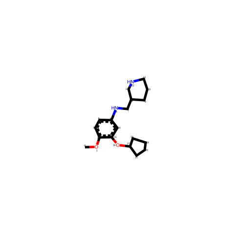 COc1ccc(NCC2CCCNC2)cc1OC1CCCC1